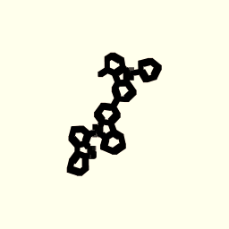 CC1CC=Cc2c1c1cc(-c3ccc4c(c3)c3ccccc3n4-c3cccc4c3sc3ccccc34)ccc1n2-c1ccccc1